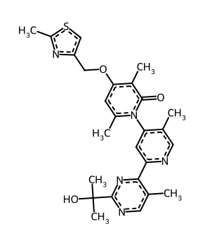 Cc1nc(COc2cc(C)n(-c3cc(-c4nc(C(C)(C)O)ncc4C)ncc3C)c(=O)c2C)cs1